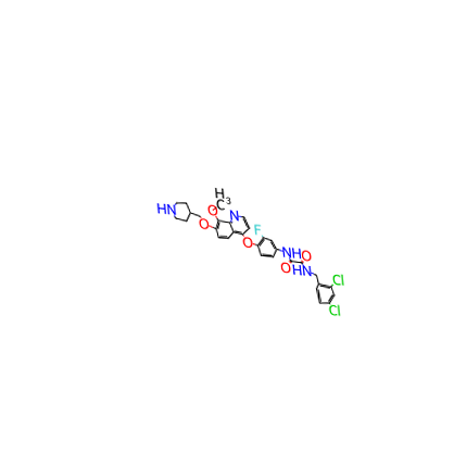 COc1c(OCC2CCNCC2)ccc2c(Oc3ccc(NC(=O)C(=O)NCc4ccc(Cl)cc4Cl)cc3F)ccnc12